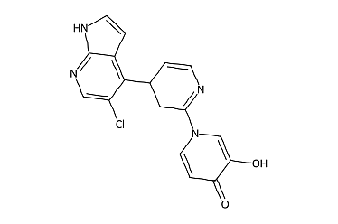 O=c1ccn(C2=NC=CC(c3c(Cl)cnc4[nH]ccc34)C2)cc1O